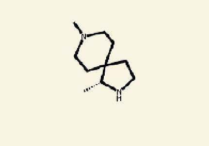 C[C@H]1NCCC12CCN(C)CC2